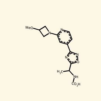 COC1CN(c2cc(-c3noc(C(C)NC(=O)O)n3)ccn2)C1